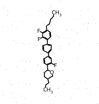 CCCCCc1ccc(-c2ccc(-c3ccc(C4CCC(CCC)CO4)c(F)c3)cc2)c(F)c1F